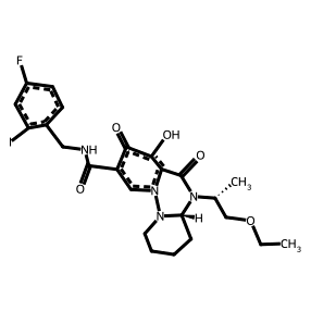 CCOC[C@@H](C)N1C(=O)c2c(O)c(=O)c(C(=O)NCc3ccc(F)cc3I)cn2N2CCCC[C@@H]12